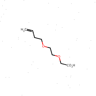 C=CCCOCCOCC(=O)O